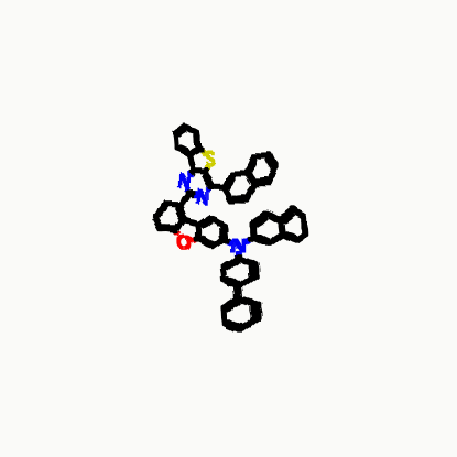 c1ccc(-c2ccc(N(c3ccc4ccccc4c3)c3ccc4c(c3)oc3cccc(-c5nc(-c6ccc7ccccc7c6)c6sc7ccccc7c6n5)c34)cc2)cc1